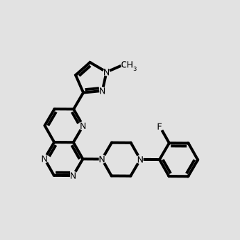 Cn1ccc(-c2ccc3ncnc(N4CCN(c5ccccc5F)CC4)c3n2)n1